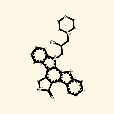 O=C1NCc2c1c1c3ccccc3[nH]c1c1c2c2ccccc2n1CC(O)CN1CCOCC1